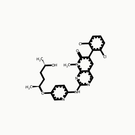 C[C@H](O)CC[C@H](C)Oc1ccc(Nc2ncc3cc(-c4c(Cl)cccc4Cl)c(=O)n(C)c3n2)nc1